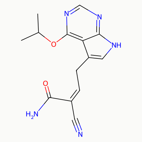 CC(C)Oc1ncnc2[nH]cc(CC=C(C#N)C(N)=O)c12